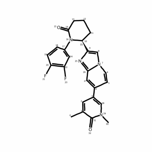 Cc1cc(-c2ccn3cc([C@@H]4CCCC(=O)N4c4ccc(F)c(F)c4)nc3c2)cn(C)c1=O